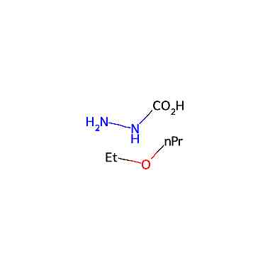 CCCOCC.NNC(=O)O